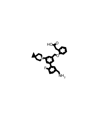 NCc1ccc(F)c(-c2cc(COc3ccccc3CC(=O)O)cc(N3CCC4(CC3)CC4)c2)c1